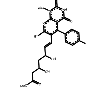 CCCCn1c(=O)[nH]c(=O)c2c(-c3ccc(F)cc3)c(/C=C/C(O)CC(O)CC(=O)OC)c(C(C)C)nc21